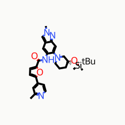 Cc1cc(-c2ccc(C(=O)Nc3cc4cn(C)nc4cc3N3CCC[C@@H](O[Si](C)(C)C(C)(C)C)C3)o2)ccn1